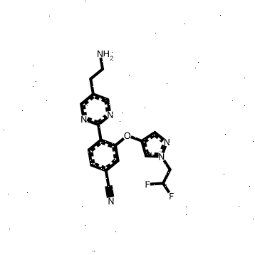 N#Cc1ccc(-c2ncc(CCN)cn2)c(Oc2cnn(CC(F)F)c2)c1